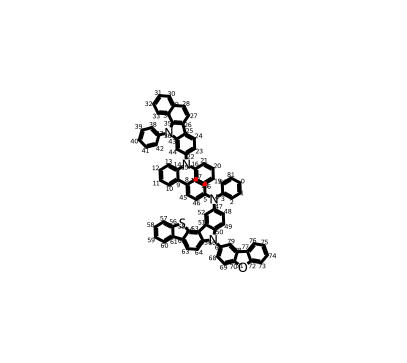 c1ccc(N(c2ccc(-c3ccccc3N(c3ccccc3)c3ccc4c5ccc6ccccc6c5n(-c5ccccc5)c4c3)cc2)c2ccc3c(c2)c2c4sc5ccccc5c4ccc2n3-c2ccc3oc4ccccc4c3c2)cc1